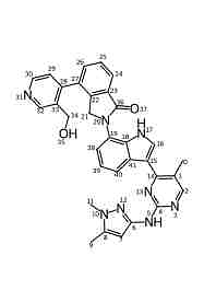 Cc1cnc(Nc2cc(C)n(C)n2)nc1-c1c[nH]c2c(N3Cc4c(cccc4-c4ccncc4CO)C3=O)cccc12